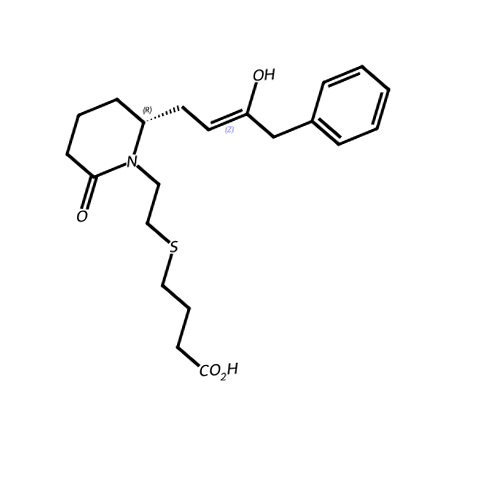 O=C(O)CCCSCCN1C(=O)CCC[C@@H]1C/C=C(\O)Cc1ccccc1